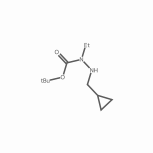 CCN(NCC1CC1)C(=O)OC(C)(C)C